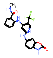 CNC(=O)c1ccccc1Nc1cc(Nc2ccc3[nH]c(=O)oc3c2)ncc1C(F)(F)F